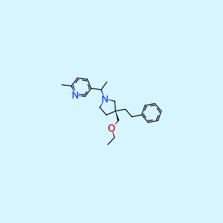 CCOC[C@@]1(CCc2ccccc2)CCN(C(C)c2ccc(C)nc2)C1